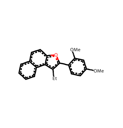 CCc1c(-c2ccc(OC)cc2OC)oc2ccc3ccccc3c12